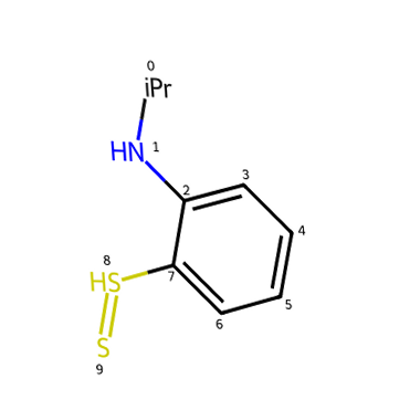 CC(C)Nc1ccccc1[SH]=S